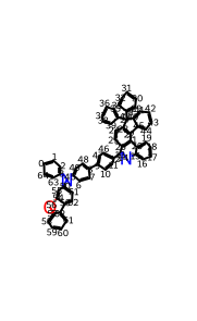 c1ccc(N(c2ccc(-c3ccc(-c4nc5ccccc5c5c6c(ccc45)C(c4ccccc4)(c4ccccc4)c4ccccc4-6)cc3)cc2)c2ccc3c(c2)oc2ccccc23)cc1